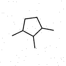 [CH2]C1C(C)CCC1C